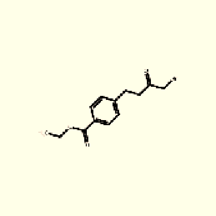 CCOC(=O)c1ccc(CCC(=O)CBr)cc1